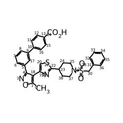 Cc1onc(-c2cccc(-c3ccc(C(=O)O)cc3)c2)c1-c1csc(C2CCN(S(=O)(=O)Cc3ccccc3)CC2)n1